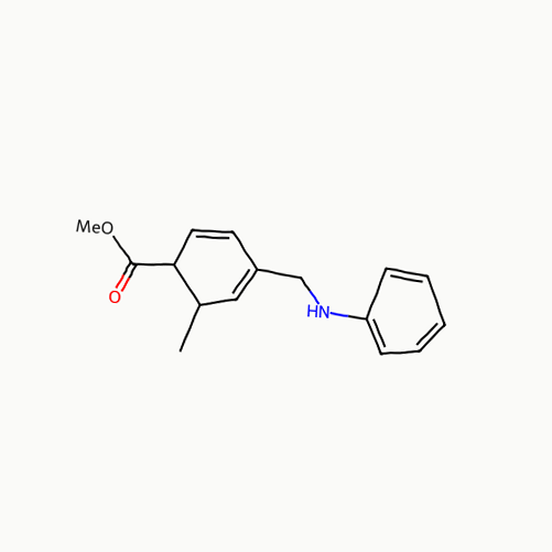 COC(=O)C1C=CC(CNc2ccccc2)=CC1C